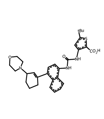 CC(C)(C)c1cc(NC(=O)Nc2ccc(C3=CC(N4CCOCC4)CCC3)c3ccccc23)c(C(=O)O)s1